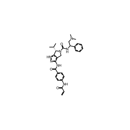 C=CC(=O)Nc1ccc(C(=O)Nc2n[nH]c3c2CN(C(=O)NC(CN(C)C)c2ccccc2)[C@H]3C(C)C)cc1